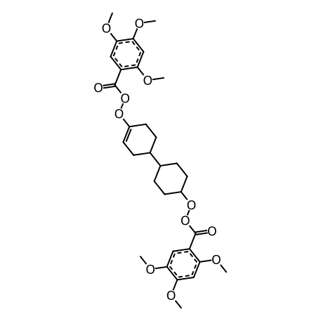 COc1cc(OC)c(C(=O)OOC2=CCC(C3CCC(OOC(=O)c4cc(OC)c(OC)cc4OC)CC3)CC2)cc1OC